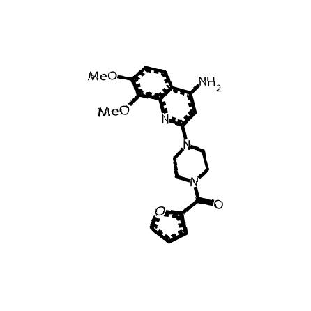 COc1ccc2c(N)cc(N3CCN(C(=O)c4ccco4)CC3)nc2c1OC